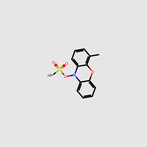 CCCS(=O)(=O)ON1c2ccccc2Oc2c(C)cccc21